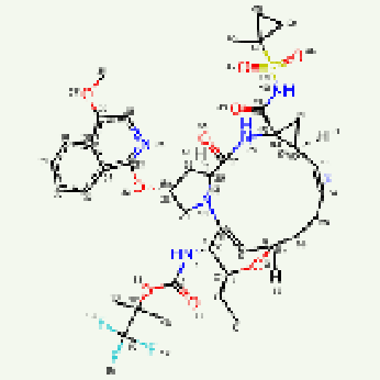 CC[C@@H]1O[C@@H]2C=C([C@H]1NC(=O)OC(C)(C)C(F)(F)F)N1C[C@H](Oc3ncc(OC)c4ccccc34)C[C@H]1C(=O)N[C@]1(C(=O)NS(=O)(=O)C3(C)CC3)C[C@H]1/C=C\CC2